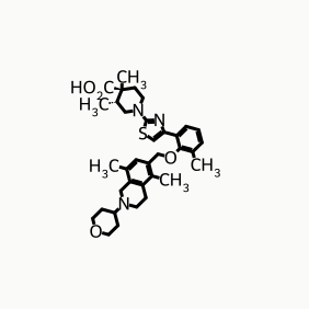 Cc1cc(COc2c(C)cccc2-c2csc(N3CC[C@](C)(C(=O)O)[C@@H](C)C3)n2)c(C)c2c1CN(C1CCOCC1)CC2